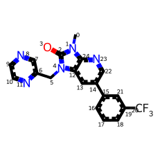 Cn1c(=O)n(Cc2cnccn2)c2cc(-c3cccc(C(F)(F)F)c3)cnc21